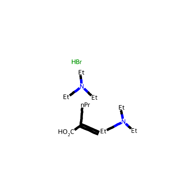 Br.C=C(CCC)C(=O)O.CCN(CC)CC.CCN(CC)CC